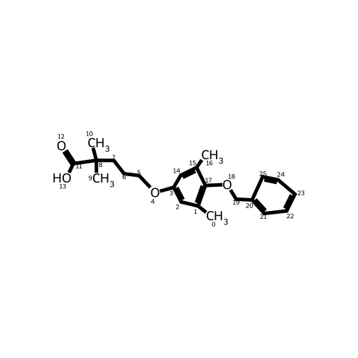 Cc1cc(OCCCC(C)(C)C(=O)O)cc(C)c1OCc1ccccc1